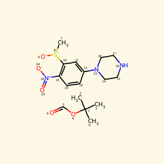 CC(C)(C)OC=O.C[S+]([O-])c1cc(N2CCNCC2)ccc1[N+](=O)[O-]